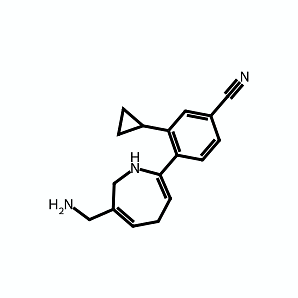 N#Cc1ccc(C2=CCC=C(CN)CN2)c(C2CC2)c1